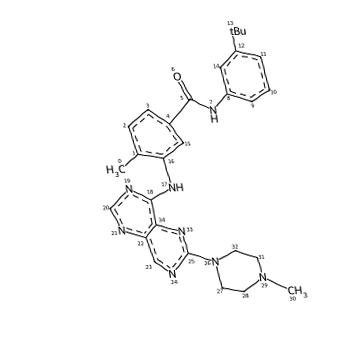 Cc1ccc(C(=O)Nc2cccc(C(C)(C)C)c2)cc1Nc1ncnc2cnc(N3CCN(C)CC3)nc12